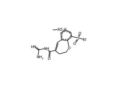 CCS(=O)(=O)c1cccc2c1OCCC(C(=O)NC(=N)N)=C2.CS(=O)(=O)O